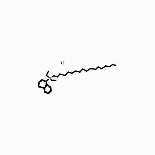 CCCCCCCCCCCCCCCCCC[N+](CC)(CC)c1cccc2ccccc12.[Cl-]